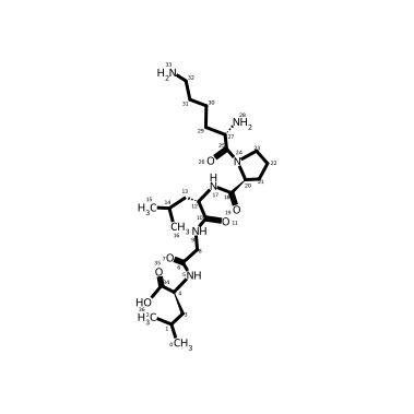 CC(C)C[C@H](NC(=O)CNC(=O)[C@H](CC(C)C)NC(=O)[C@@H]1CCCN1C(=O)[C@@H](N)CCCCN)C(=O)O